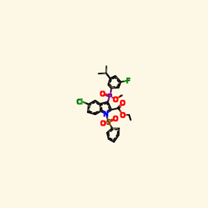 CCOC(=O)c1c(P(=O)(OC)c2cc(F)cc(C(C)C)c2)c2cc(Cl)ccc2n1S(=O)(=O)c1ccccc1